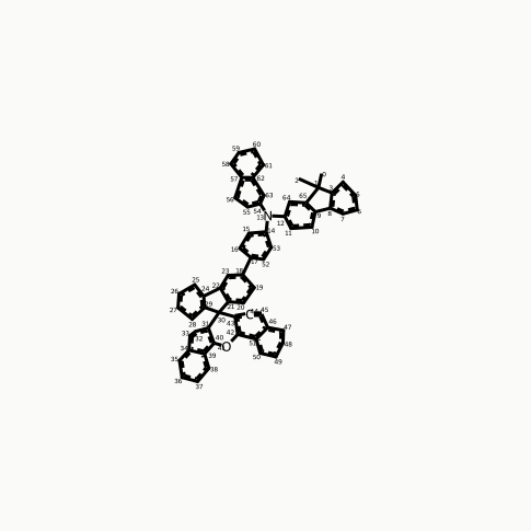 CC1(C)c2ccccc2-c2ccc(N(c3ccc(-c4ccc5c(c4)-c4ccccc4C54c5ccc6ccccc6c5Oc5c4ccc4ccccc54)cc3)c3ccc4ccccc4c3)cc21